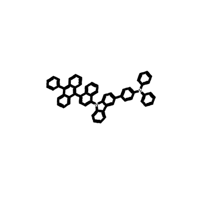 c1ccc(-c2c3ccccc3c(-c3ccc(-n4c5ccccc5c5cc(-c6ccc(N(c7ccccc7)c7ccccc7)cc6)ccc54)c4ccccc34)c3ccccc23)cc1